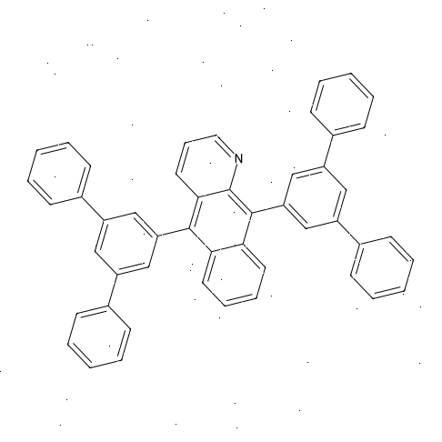 c1ccc(-c2cc(-c3ccccc3)cc(-c3c4ccccc4c(-c4cc(-c5ccccc5)cc(-c5ccccc5)c4)c4ncccc34)c2)cc1